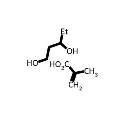 C=C(C)C(=O)O.CCC(O)CCO